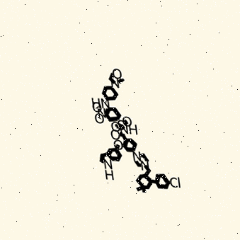 CC1(C)CCC(CN2CCN(c3ccc(C(=O)NS(=O)(=O)c4ccc(N[C@H]5CC[C@H](N6CCOCC6)CC5)c([N+](=O)[O-])c4)c(Oc4ccc5[nH]ccc5c4)c3)CC2)=C(c2ccc(Cl)cc2)C1